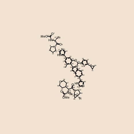 COC(=O)N[C@H](C(=O)N1CCC[C@H]1c1ncc(-c2cc(C)c3c(c2)OC(c2ccc(C4CC4)s2)n2c-3cc3cc(-c4cnc([C@@H]5C[C@H]6C[C@H]6N5C(=O)[C@@H](NC(=O)OC)C5CCOCC5)[nH]4)ccc32)[nH]1)C(C)C